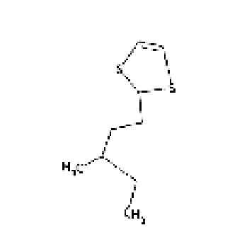 CCC(C)CCC1SC=CS1